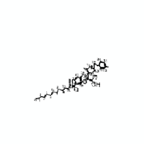 CCCCCCCCCCCCNC(=O)c1ccc(CN(C(=O)C(=O)O)C2CCN(Cc3ccccc3)CC2)cc1